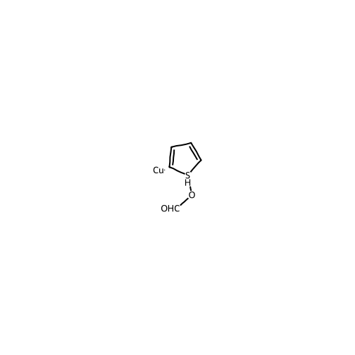 O=CO[SH]1C=CC=C1.[Cu]